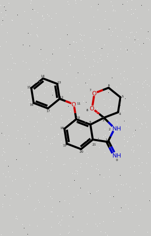 N=C1NC2(CCCOO2)c2c(Oc3ccccc3)cccc21